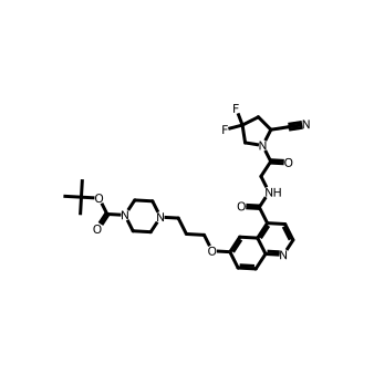 CC(C)(C)OC(=O)N1CCN(CCCOc2ccc3nccc(C(=O)NCC(=O)N4CC(F)(F)CC4C#N)c3c2)CC1